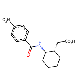 O=C(O)C[C@@H]1CCCC[C@H]1NC(=O)c1ccc([N+](=O)[O-])cc1